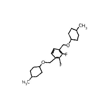 CC1CCC(OCc2ccc(COC3CCC(C)CC3)c(F)c2F)CC1